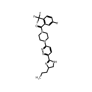 CCCC1CNC(c2ccc(N3CCN(C(=O)c4cc(F)ccc4C(F)(F)F)CC3)nn2)=N1